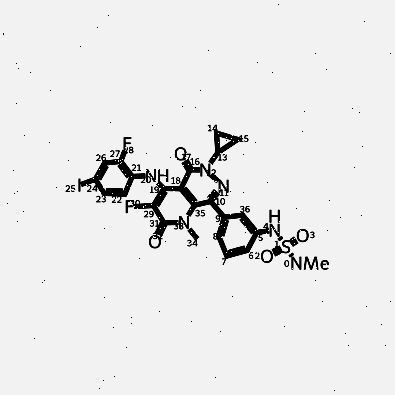 CNS(=O)(=O)Nc1cccc(-c2nn(C3CC3)c(=O)c3c(Nc4ccc(I)cc4F)c(F)c(=O)n(C)c23)c1